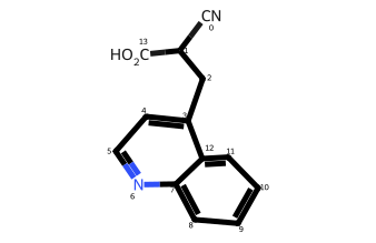 N#CC(Cc1ccnc2ccccc12)C(=O)O